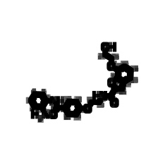 Nc1ccccc1NC(=O)c1ccc(OCCNC(=O)c2cc3cccc(OCCO)c3o2)cc1